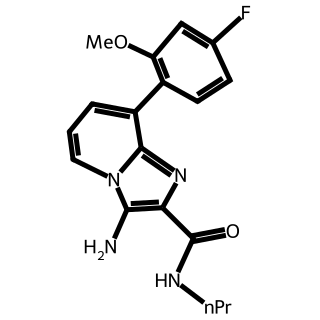 CCCNC(=O)c1nc2c(-c3ccc(F)cc3OC)cccn2c1N